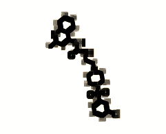 Cc1cc(NC(=O)NCCN2CCN(S(=O)(=O)c3cccc(Cl)c3)CC2)c2ccccc2n1